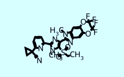 CCS(=O)(=O)c1c(-c2nc3cc4c(cc3n2C)OC(F)(F)C(F)(F)O4)nc(-c2cccc(C3(C#N)CC3)n2)n1C